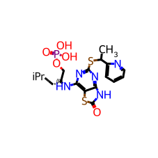 CC(C)C[C@H](COP(=O)(O)O)Nc1nc(SC(C)c2ccccn2)nc2[nH]c(=O)sc12